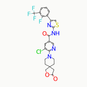 O=C1CC2(CCN(c3ncc(C(=O)Nc4nc(-c5cccc(C(F)(F)F)c5F)cs4)cc3Cl)CC2)CO1